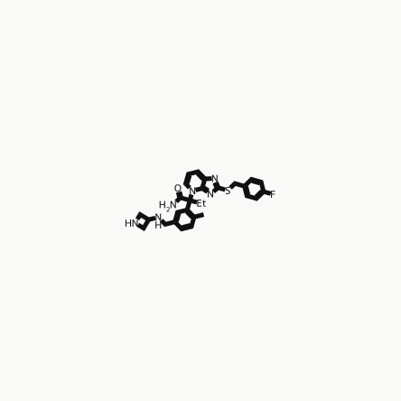 CCC(C(N)=O)(c1cc(CNC2CNC2)ccc1C)n1cccc2nc(SCc3ccc(F)cc3)nc1-2